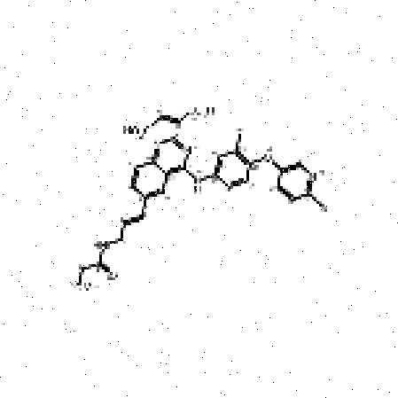 COCC(=O)NCC=Cc1ccc2ncnc(Nc3ccc(Oc4ccc(C)nc4)c(C)c3)c2c1.O=C(O)C=CC(=O)O